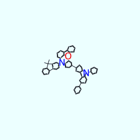 CC1(C)c2ccccc2-c2ccc(N(c3ccc(-c4ccc5c(c4)c4cc(-c6ccccc6)ccc4n5-c4ccccc4)cc3)c3cccc4c3oc3ccccc34)cc21